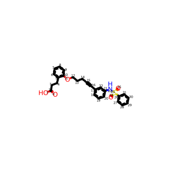 O=C(O)CCc1ccccc1OCCCC#Cc1cccc(NS(=O)(=O)c2ccccc2)c1